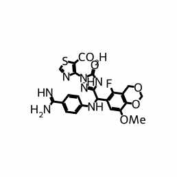 COc1cc(C(Nc2ccc(C(=N)N)cc2)c2nn(-c3ncsc3C(=O)O)c(=O)[nH]2)c(F)c2c1OCOC2